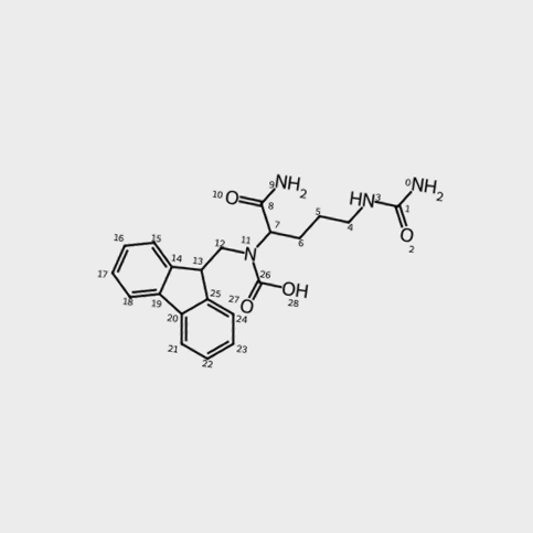 NC(=O)NCCCC(C(N)=O)N(CC1c2ccccc2-c2ccccc21)C(=O)O